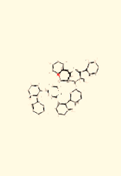 c1ccc(-c2nc(-c3cccc4oc5ccccc5c34)nc(-c3cccc4oc5ccc(-c6nc(-c7ccccc7)nc7c6oc6ccccc67)cc5c34)n2)cc1